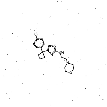 Clc1ccc(C2(c3csc(NCCN4CCOCC4)n3)CCC2)cc1